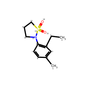 CCc1cc(C)ccc1N1CCCS1(=O)=O